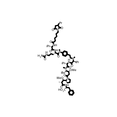 CC[C@H](C)[C@@H]([C@@H](CC(=O)N1CCC[C@H]1[C@H](OC)[C@@H](C)C(=O)N[C@@H](Cc1ccccc1)C(=O)O)OC)N(C)C(=O)[C@@H](NC(=O)[C@H](C(C)C)N(C)CCc1ccc(N(C)C(=O)[C@H](CCCNC(N)=O)NC(=O)[C@@H](NC(=O)CCCCCN2C(=O)CC(C(C)C)C2=O)C(C)C)cc1)C(C)C